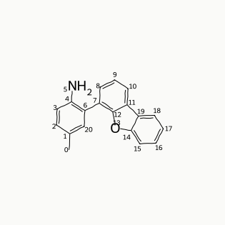 Cc1ccc(N)c(-c2cccc3c2oc2ccccc23)c1